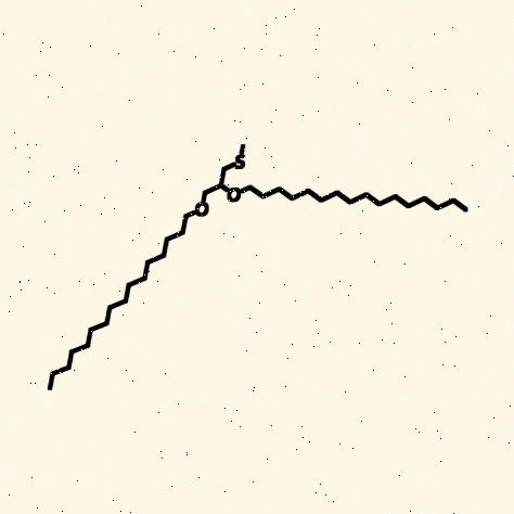 CCCCCCCCCCCCCCCCOCC(CSC)OCCCCCCCCCCCCCCCC